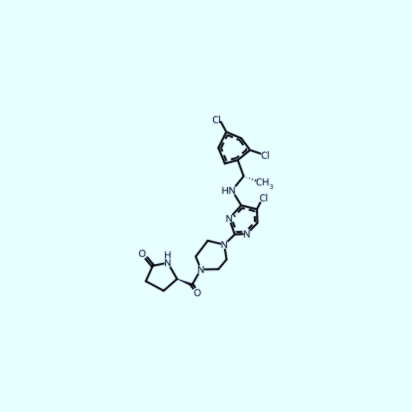 C[C@H](Nc1nc(N2CCN(C(=O)[C@H]3CCC(=O)N3)CC2)ncc1Cl)c1ccc(Cl)cc1Cl